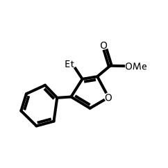 CCc1c(-c2ccccc2)coc1C(=O)OC